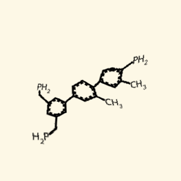 Cc1cc(-c2ccc(-c3cc(CP)cc(CP)c3)cc2C)ccc1P